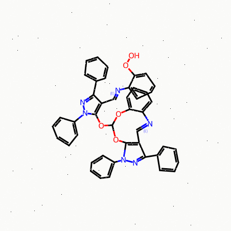 OOc1ccccc1/N=C/c1c(-c2ccccc2)nn(-c2ccccc2)c1OC1Oc2ccccc2/N=C/c2c(-c3ccccc3)nn(-c3ccccc3)c2O1